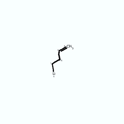 [Li][CH2]CC=C